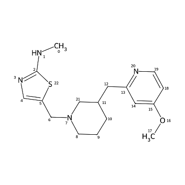 CNc1ncc(CN2CCCC(Cc3cc(OC)ccn3)C2)s1